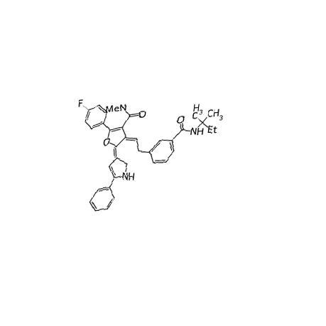 CCC(C)(C)NC(=O)c1cccc(C/C=c2/c(C(=O)NC)c(-c3ccc(F)cc3)o/c2=C2\C=C(c3ccccc3)NC2)c1